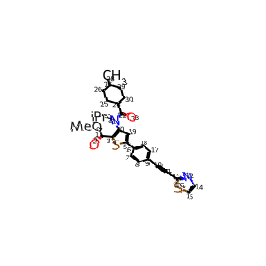 COC(=O)c1sc(-c2ccc(C#Cc3nccs3)cc2)cc1N(C(=O)C1CCC(C)CC1)C(C)C